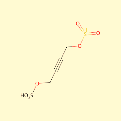 O=[SH](=O)OCC#CCOS(=O)(=O)O